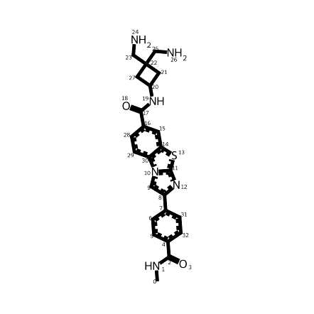 CNC(=O)c1ccc(-c2cn3c(n2)sc2cc(C(=O)NC4CC(CN)(CN)C4)ccc23)cc1